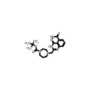 CC(C)(C)OC(=O)N1CCCN(CC2=Nc3cccc4c(=O)[nH]nc(c34)N2)CC1